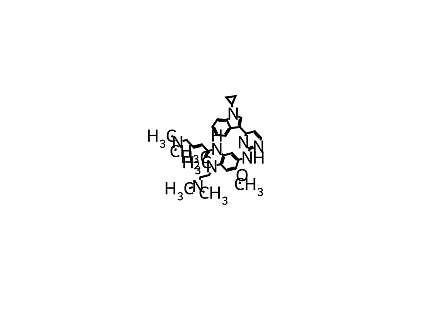 C=C(/C=C/CN(C)C)Nc1cc(Nc2nccc(-c3cn(C4CC4)c4ccccc34)n2)c(OC)cc1N(C)CCN(C)C